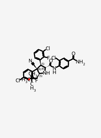 CC(C)(C)C[C@@H]1N[C@@H](C(=O)Nc2ccc(C(N)=O)cc2Cl)[C@H](c2cccc(Cl)c2F)[C@@]1(C#N)c1ccc(Cl)cc1F